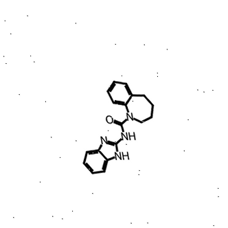 O=C(Nc1nc2ccccc2[nH]1)N1CCCCc2ccccc21